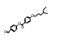 CCC(C)CCCOc1ccc(C(=O)Oc2ccc(C=O)cc2)cc1